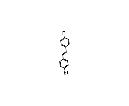 CCc1ccc(/C=C/c2ccc(F)cc2)cc1